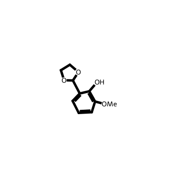 COc1cccc(C2OCCO2)c1O